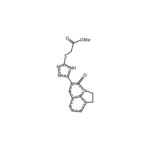 COC(=O)CSc1nnc(-c2cc3cccc4c3n(c2=O)CC4)[nH]1